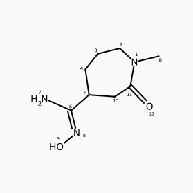 CN1CCCC(/C(N)=N/O)CC1=O